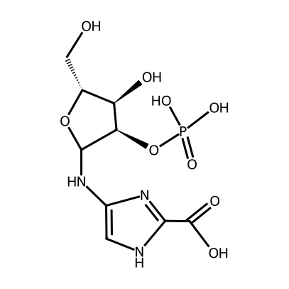 O=C(O)c1nc(NC2O[C@H](CO)[C@@H](O)[C@H]2OP(=O)(O)O)c[nH]1